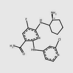 NC(=O)c1cc(F)c(NC2CCCC[C@@H]2N)nc1Nc1ccnc(Cl)c1